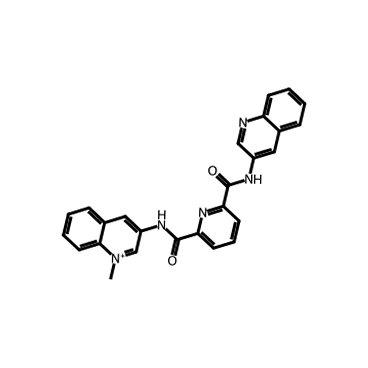 C[n+]1cc(NC(=O)c2cccc(C(=O)Nc3cnc4ccccc4c3)n2)cc2ccccc21